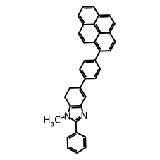 Cn1c(-c2ccccc2)nc2c1CCC(c1ccc(-c3ccc4ccc5cccc6ccc3c4c56)cc1)=C2